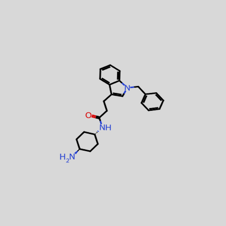 N[C@H]1CC[C@H](NC(=O)CCc2cn(Cc3ccccc3)c3ccccc23)CC1